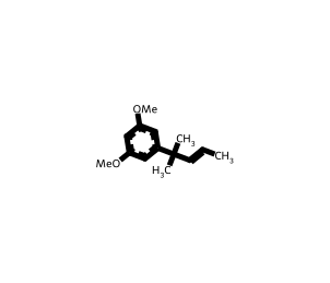 CC=CC(C)(C)c1cc(OC)cc(OC)c1